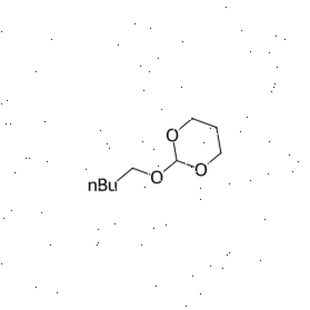 CCCCCOC1OCCCO1